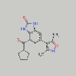 Cc1noc(C)c1-c1cc(C(=O)C2CCCC2)c2[nH]c(=O)[nH]c2c1